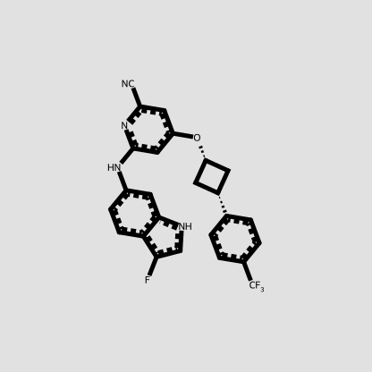 N#Cc1cc(O[C@H]2C[C@@H](c3ccc(C(F)(F)F)cc3)C2)cc(Nc2ccc3c(F)c[nH]c3c2)n1